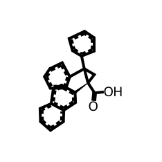 O=C(O)[C@@]1(c2ccc3ccccc3c2)CC1(c1ccccc1)c1ccccc1